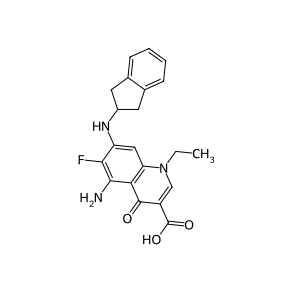 CCn1cc(C(=O)O)c(=O)c2c(N)c(F)c(NC3Cc4ccccc4C3)cc21